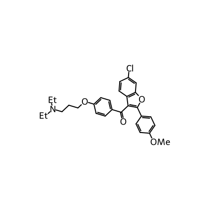 CCN(CC)CCCOc1ccc(C(=O)c2c(-c3ccc(OC)cc3)oc3cc(Cl)ccc23)cc1